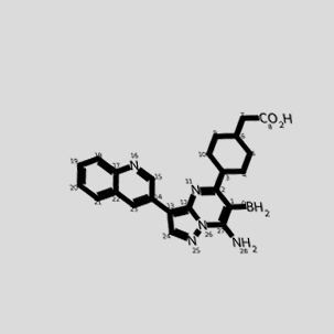 Bc1c(C2CCC(CC(=O)O)CC2)nc2c(-c3cnc4ccccc4c3)cnn2c1N